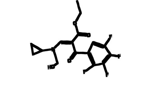 CCOC(=O)/C(=C/N(CO)C1CC1)C(=O)c1cc(F)c(F)c(F)c1F